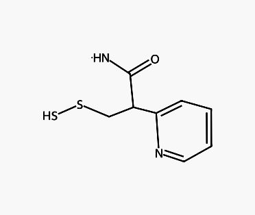 [NH]C(=O)C(CSS)c1ccccn1